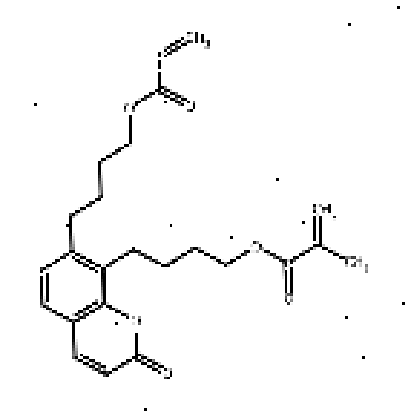 C=CC(=O)OCCCCc1ccc2ccc(=O)oc2c1CCCCOC(=O)C(=C)C